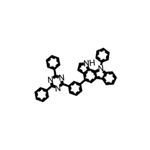 c1ccc(-c2nc(-c3ccccc3)nc(-c3cccc(-c4cc5c6ccccc6n(-c6ccccc6)c5c5[nH]ccc45)c3)n2)cc1